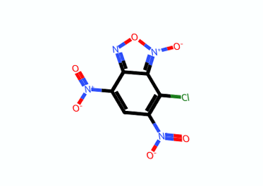 O=[N+]([O-])c1cc([N+](=O)[O-])c2no[n+]([O-])c2c1Cl